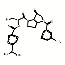 Cc1cccc(C(=O)N2CC(=O)C3C2CCN3C(=O)[C@H](CC(C)C)NC(=O)c2ccc(N(C)C)cc2)c1